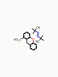 CC(C)(C#N)N=NC(C)(C)C#N.O=C(O)c1cccc2c1Cc1ccccc1O2